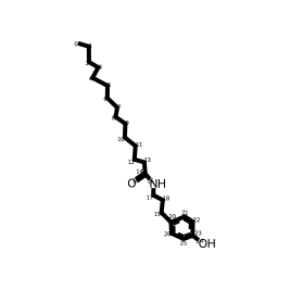 CCCCCCCCCCCCCCC(=O)NCCCc1ccc(O)cc1